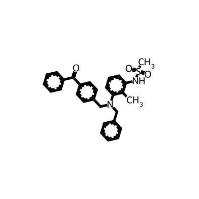 Cc1c(NS(C)(=O)=O)cccc1N(Cc1ccccc1)Cc1ccc(C(=O)c2ccccc2)cc1